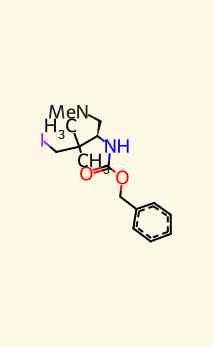 CNC[C@@H](NC(=O)OCc1ccccc1)C(C)(C)CI